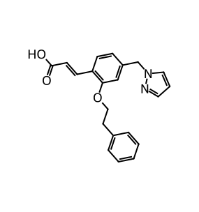 O=C(O)/C=C/c1ccc(Cn2cccn2)cc1OCCc1ccccc1